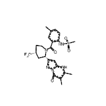 Cc1ccc(NS(C)(=O)=O)c(C(=O)N2CC[C@@H](C(F)(F)F)C[C@H]2c2cc3[nH]c(C)c(C)c(=O)n3n2)c1